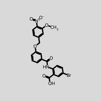 COc1cc(COc2cccc(C(=O)Nc3ccc(Br)cc3C(=O)O)c2)ccc1[N+](=O)[O-]